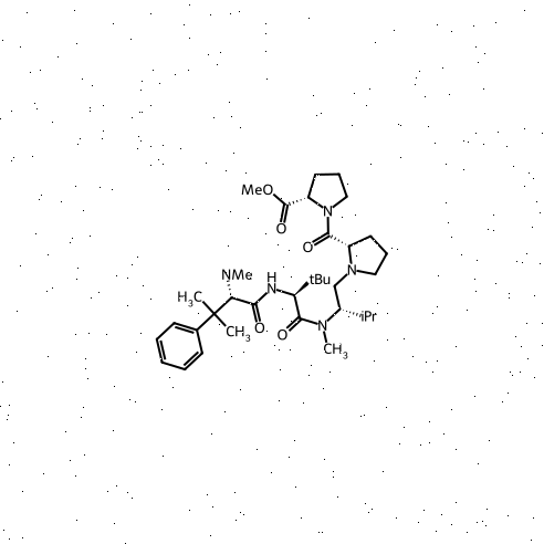 CN[C@H](C(=O)N[C@H](C(=O)N(C)[C@H](CN1CCC[C@H]1C(=O)N1CCC[C@H]1C(=O)OC)C(C)C)C(C)(C)C)C(C)(C)c1ccccc1